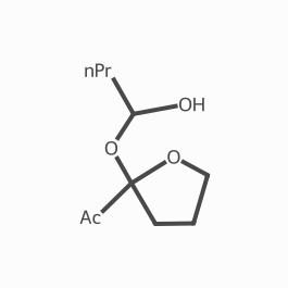 CCCC(O)OC1(C(C)=O)CCCO1